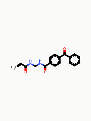 C=CC(=O)NCNC(=O)c1ccc(C(=O)c2ccccc2)cc1